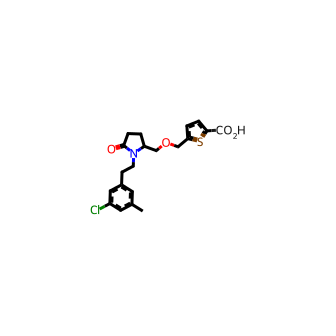 Cc1cc(Cl)cc(CCN2C(=O)CCC2COCc2ccc(C(=O)O)s2)c1